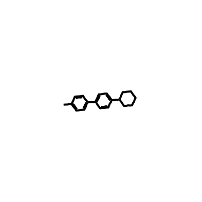 Cc1ccc(-c2ccc(C3CC[CH]CC3)cc2)cc1